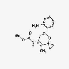 C[C@@H]1[C@H](NC(=O)OC(C)(C)C)C[C@H](c2ccncc2N)OC12CC2